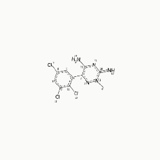 Cn1nc(-c2cc(Cl)cc(Cl)c2Cl)c(N)nc1=N